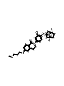 COCCCOc1ccc2c(c1)CCN(c1ccc(O[C@H]3C[C@H]4CC[C@@H](C3)N4C)c(Cl)c1)C2=O